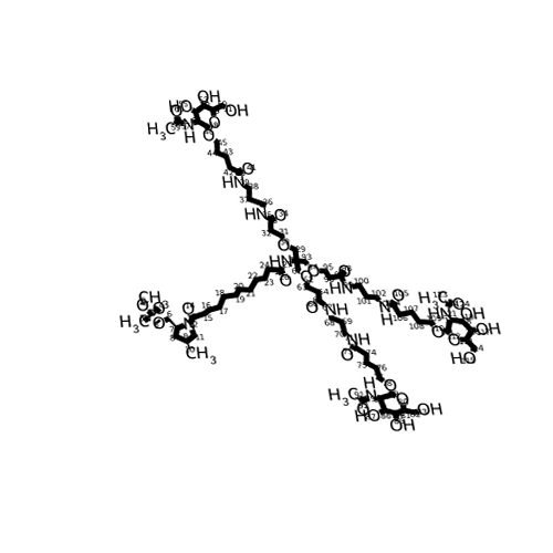 COP(C)(=O)OC[C@@H]1C[C@@H](C)CN1C(=O)CCCCCCCCCCC(=O)NC(COCCC(=O)NCCCNC(=O)CCCCOC1OC(CO)C(O)C(O)C1NC(C)=O)(COCCC(=O)NCCCNC(=O)CCCCOC1OC(CO)C(O)C(O)C1NC(C)=O)COCCC(=O)NCCCNC(=O)CCCCOC1OC(CO)C(O)C(O)C1NC(C)=O